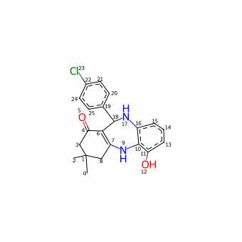 CC1(C)CC(=O)C2=C(C1)Nc1c(O)cccc1NC2c1ccc(Cl)cc1